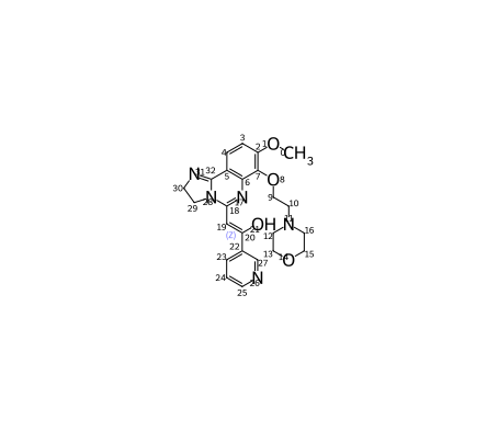 COc1ccc2c(c1OCCN1CCOCC1)N=C(/C=C(\O)c1cccnc1)N1CCN=C21